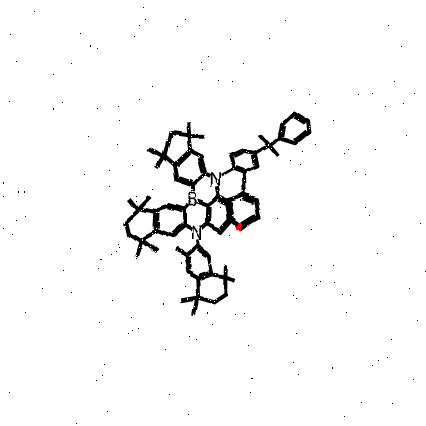 Cc1cc2c3c(c1)N(c1ccc(C(C)(C)c4ccccc4)cc1-c1ccccc1)c1cc4c(cc1B3c1cc3c(cc1N2c1cc2c(cc1C)C(C)(C)CCC2(C)C)C(C)(C)CCC3(C)C)C(C)(C)CC4(C)C